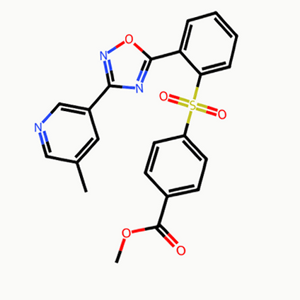 COC(=O)c1ccc(S(=O)(=O)c2ccccc2-c2nc(-c3cncc(C)c3)no2)cc1